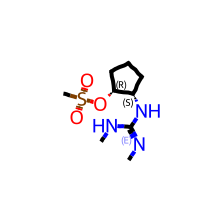 C/N=C(\NC)N[C@H]1CCC[C@H]1OS(C)(=O)=O